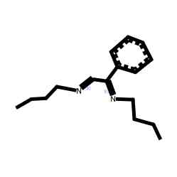 CCCC/N=C/C(=N/CCCC)c1ccccc1